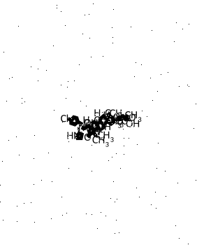 CC(C)C1=C2[C@H]3CC[C@@H]4[C@@]5(C)CC[C@H](OC(=O)CC(C)(C)C(=O)O)C(C)(C)[C@@H]5CC[C@@]4(C)[C@]3(C)CC[C@@]2([C@@H](O)CN(Cc2ccc(Cl)cc2)C[C@H]2CCCN2)CC1=O